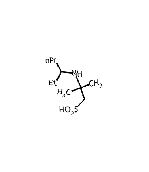 CCCC(CC)NC(C)(C)CS(=O)(=O)O